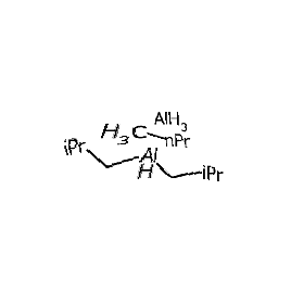 CC(C)[CH2][AlH][CH2]C(C)C.CCCC.[AlH3]